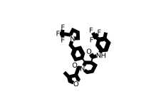 CC1=COCC1C(=O)N1CCC[C@H](C(=O)Nc2ccc(C)c(C(F)(F)F)c2)[C@@H]1C1C=CC(CN2CCCC2C(F)(F)F)=CC1